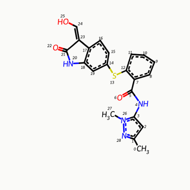 Cc1cc(NC(=O)c2ccccc2Sc2ccc3c(c2)NC(=O)/C3=C\O)n(C)n1